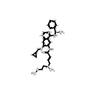 COCCN(C)CC=CC(=O)Nc1cc2c(N[C@H](C)c3ccccc3)ncnc2cc1OCC1CC1